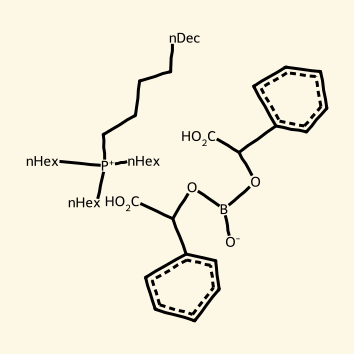 CCCCCCCCCCCCCC[P+](CCCCCC)(CCCCCC)CCCCCC.O=C(O)C(OB([O-])OC(C(=O)O)c1ccccc1)c1ccccc1